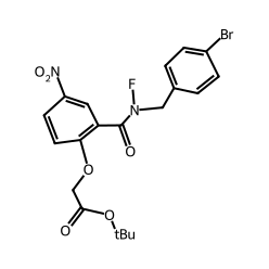 CC(C)(C)OC(=O)COc1ccc([N+](=O)[O-])cc1C(=O)N(F)Cc1ccc(Br)cc1